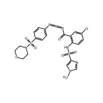 Cn1cnc(S(=O)(=O)Nc2ccc(Cl)cc2C(=O)N=[N+]=Nc2ccc(S(=O)(=O)N3CCOCC3)cc2)c1